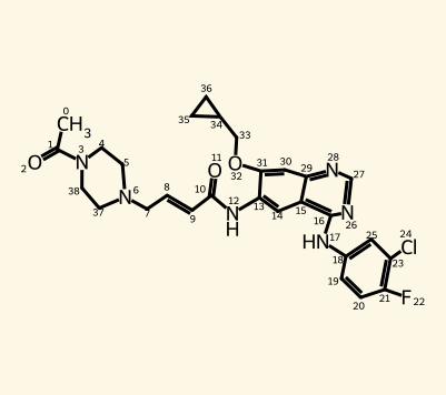 CC(=O)N1CCN(CC=CC(=O)Nc2cc3c(Nc4ccc(F)c(Cl)c4)ncnc3cc2OCC2CC2)CC1